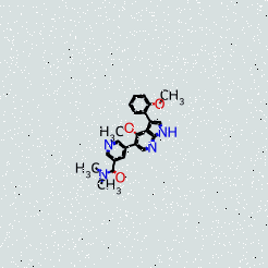 COc1ccccc1-c1c[nH]c2ncc(-c3cncc(C(=O)N(C)C)c3)c(OC)c12